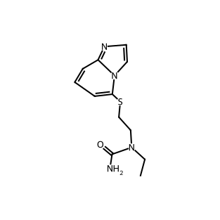 CCN(CCSc1cccc2nccn12)C(N)=O